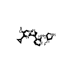 COc1cn2ncc(-c3cccnc3N[C@H]3CNC[C@@H]3F)c2nc1C1CC1